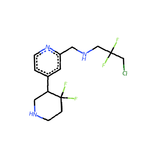 FC(F)(CCl)CNCc1cc(C2CNCCC2(F)F)ccn1